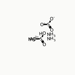 N.N.O=S(O)O.O=S([O-])[O-].[Mg+2]